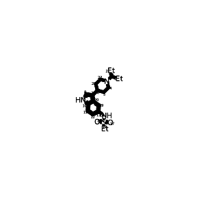 CCC(CC)N1CCC(c2c[nH]c3ccc(NS(=O)(=O)CC)cc23)CC1